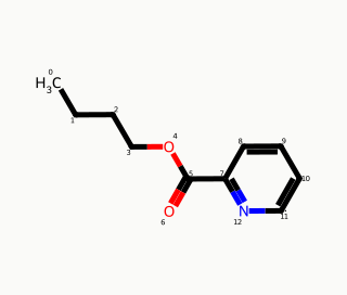 CCCCOC(=O)c1ccc[c]n1